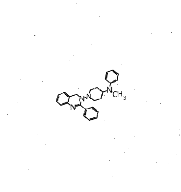 CN(c1ccccc1)C1CCN(N2Cc3ccccc3N=C2c2ccccc2)CC1